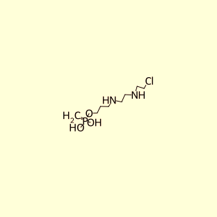 C=P(O)(O)OCCCNCCNCCCl